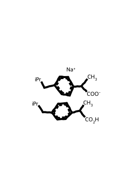 CC(C)Cc1ccc(C(C)C(=O)O)cc1.CC(C)Cc1ccc(C(C)C(=O)[O-])cc1.[Na+]